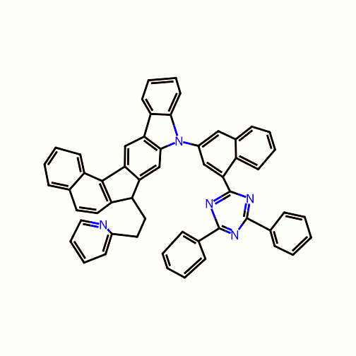 c1ccc(-c2nc(-c3ccccc3)nc(-c3cc(-n4c5ccccc5c5cc6c(cc54)C(CCc4ccccn4)c4ccc5ccccc5c4-6)cc4ccccc34)n2)cc1